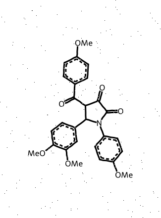 COc1ccc(C(=O)C2C(=O)C(=O)N(c3ccc(OC)cc3)C2c2ccc(OC)c(OC)c2)cc1